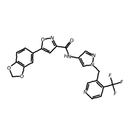 O=C(Nc1cnn(Cc2cnccc2C(F)(F)F)c1)c1cc(-c2ccc3c(c2)OCO3)on1